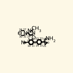 Cc1nc(Oc2cc(C#N)ccc2-c2ccc(C3(CN)CC3)cc2)cc(N2CCOCC2)n1